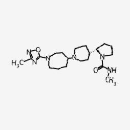 CNC(=O)N1CCC[C@H]1C1CCN(C2CCCN(c3nc(C)no3)CC2)CC1